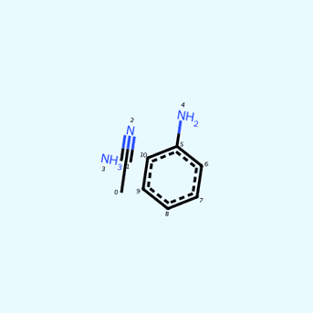 CC#N.N.Nc1ccccc1